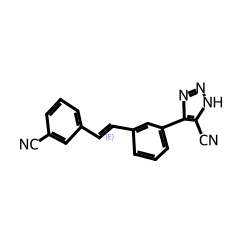 N#Cc1cccc(/C=C/c2cccc(-c3nn[nH]c3C#N)c2)c1